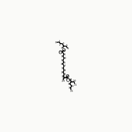 CCCCC(CC)COC(=O)CCCCCCCCCCCCC(C)C(=O)OCC(CC)CCCC